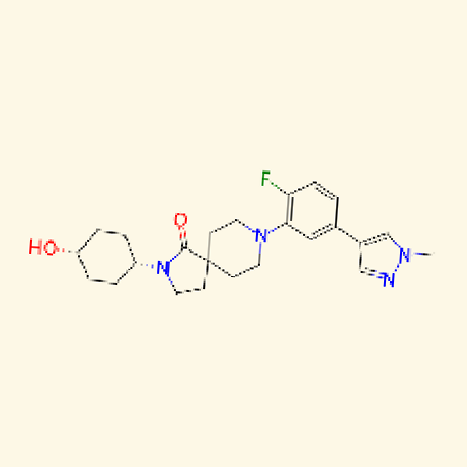 Cn1cc(-c2ccc(F)c(N3CCC4(CC3)CCN([C@H]3CC[C@@H](O)CC3)C4=O)c2)cn1